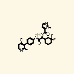 Cc1nccc(Cl)c1-c1ccc(NC(=O)C(NC(=O)c2ccnn2C)C2CCCC(F)(F)C2)cc1